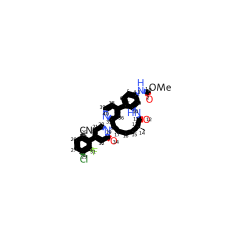 COC(=O)Nc1ccc2c(c1)NC(=O)[C@H](C)CCC[C@H](N1CCC(c3c(C#N)ccc(Cl)c3F)=CC1=O)c1cc-2ccn1